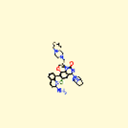 CCN1CCN(C[C@H]2COc3c(-c4cccc5ccc(N)nc45)c(Cl)cc4c(N5CC6CCC(C5)N6)nc(=O)n2c34)CC1